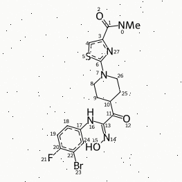 CNC(=O)c1csc(N2CCC(C(=O)/C(=N/O)Nc3ccc(F)c(Br)c3)CC2)n1